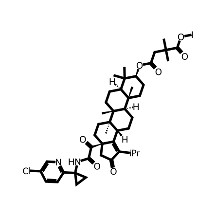 CC(C)C1=C2[C@H]3CC[C@@H]4[C@@]5(C)CC[C@H](OC(=O)CC(C)(C)C(=O)OI)C(C)(C)[C@@H]5CC[C@@]4(C)[C@]3(C)CC[C@@]2(C(=O)C(=O)NC2(c3ccc(Cl)cn3)CC2)CC1=O